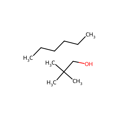 CC(C)(C)CO.CCCCCC